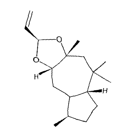 C=C[C@@H]1O[C@H]2CC3[C@H](C)CC[C@H]3C(C)(C)C[C@@]2(C)O1